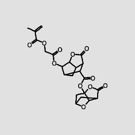 C=C(C)C(=O)OCC(=O)OC1C2CC3C1OC(=O)C3C2C(=O)OC12CC3CC(C(=O)O1)C2O3